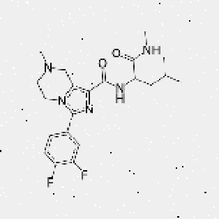 CNC(=O)C(CC(C)C)NC(=O)c1nc(-c2ccc(F)c(F)c2)n2c1CN(C)CC2